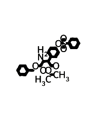 CC(C)OC(=O)C(c1ccc(OS(=O)(=O)c2ccccc2)cc1)C(N)C(=O)OCc1ccccc1